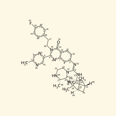 Cc1cnc(-c2nc3cc(N=C(N[C@H]4C[C@@H]5C[C@@H]([C@H]4C)C5(C)C)N4CCN[C@@H](C)C4)ccc3c(=O)n2CCc2ccc(F)cc2)cn1